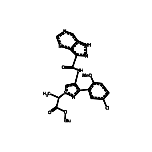 COc1ccc(Cl)cc1-c1nn(C(C)C(=O)OC(C)(C)C)cc1NC(=O)c1n[nH]c2cncnc12